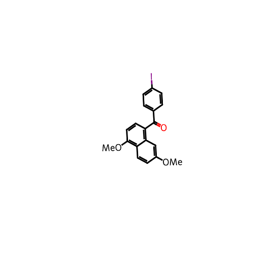 COc1ccc2c(OC)ccc(C(=O)c3ccc(I)cc3)c2c1